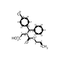 C=CCOC(=O)N(CC(=O)O)C(c1ccccc1)c1ccc(Cl)cc1